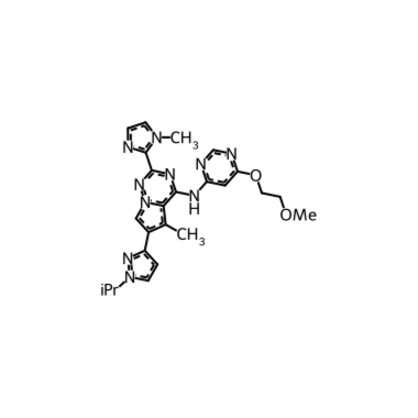 COCCOc1cc(Nc2nc(-c3nccn3C)nn3cc(-c4ccn(C(C)C)n4)c(C)c23)ncn1